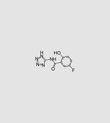 O=C(Nc1nnn[nH]1)c1cc(F)ccc1O